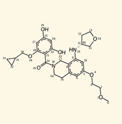 COCCOc1cc2c(c(N[C@@H]3CCOC3)c1)CN(C(=O)c1c(O)cc(O)cc1OCC1CC1)CC2